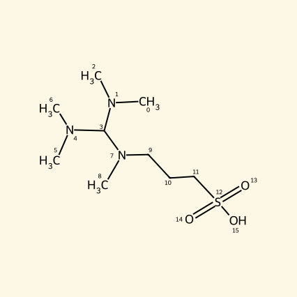 CN(C)C(N(C)C)N(C)CCCS(=O)(=O)O